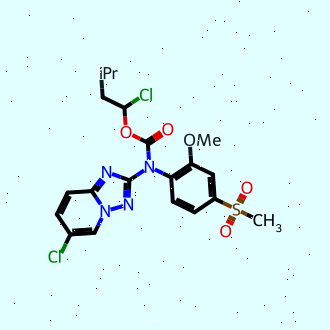 COc1cc(S(C)(=O)=O)ccc1N(C(=O)OC(Cl)CC(C)C)c1nc2ccc(Cl)cn2n1